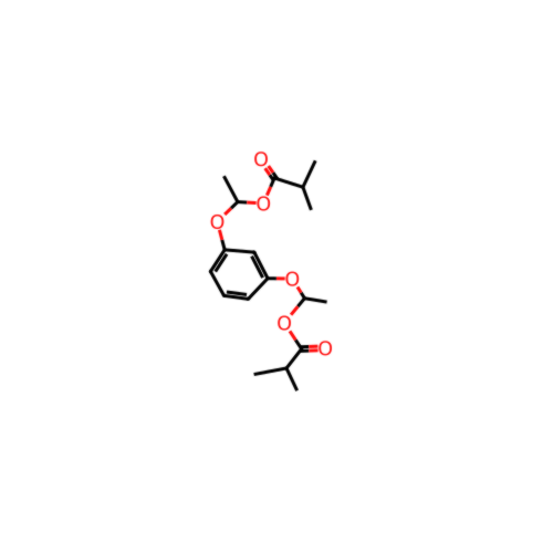 CC(OC(=O)C(C)C)Oc1cccc(OC(C)OC(=O)C(C)C)c1